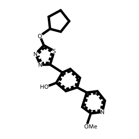 COc1cc(-c2ccc(-c3nnc(OC4CCCC4)s3)c(O)c2)ccn1